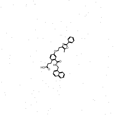 Cc1oc(-c2ccccc2)nc1CCOc1ccc(CCC(=O)O)c(C(=O)NCc2cccc3ccccc23)c1